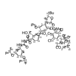 CC(C)Oc1cc(-n2nc(C(C)(C)C)oc2=O)c(Cl)cc1Cl.COc1c(Cl)ccc(Cl)c1C(=O)O.C[S+](C)C.O=C(Nc1nc(OC(F)F)cc(OC(F)F)n1)NS(=O)(=O)c1ccccc1C(=O)O.O=C(O)CNCP(=O)([O-])O